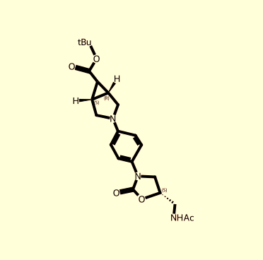 CC(=O)NC[C@H]1CN(c2ccc(N3C[C@@H]4C(C(=O)OC(C)(C)C)[C@@H]4C3)cc2)C(=O)O1